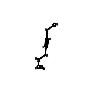 CSCC#CC[O]